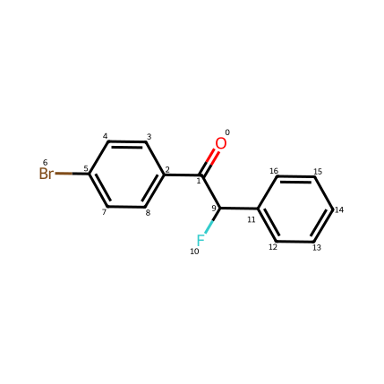 O=C(c1ccc(Br)cc1)C(F)c1ccccc1